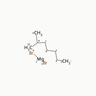 [Br][Mg][Br].[CH2]CCCCC(C)C